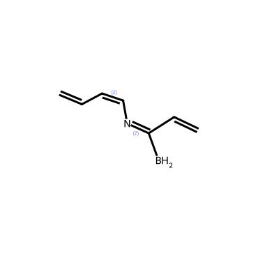 B/C(C=C)=N/C=C\C=C